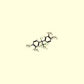 Cc1ccc(C(F)(c2ccc(C)c(C)c2)C(F)(F)C(F)(F)F)cc1C